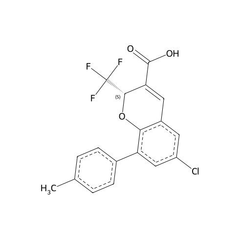 Cc1ccc(-c2cc(Cl)cc3c2O[C@H](C(F)(F)F)C(C(=O)O)=C3)cc1